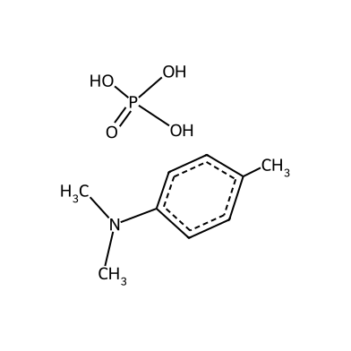 Cc1ccc(N(C)C)cc1.O=P(O)(O)O